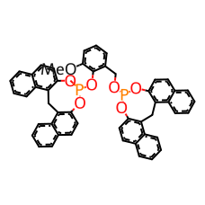 COc1cccc(COP2Oc3ccc4ccccc4c3Cc3c(ccc4ccccc34)O2)c1OP1Oc2ccc3ccccc3c2Cc2c(ccc3ccccc23)O1